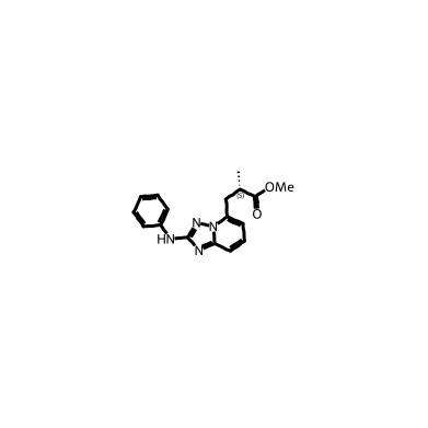 COC(=O)[C@@H](C)Cc1cccc2nc(Nc3ccccc3)nn12